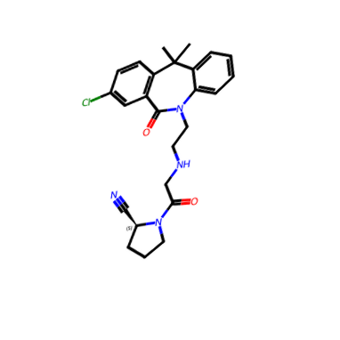 CC1(C)c2ccc(Cl)cc2C(=O)N(CCNCC(=O)N2CCC[C@H]2C#N)c2ccccc21